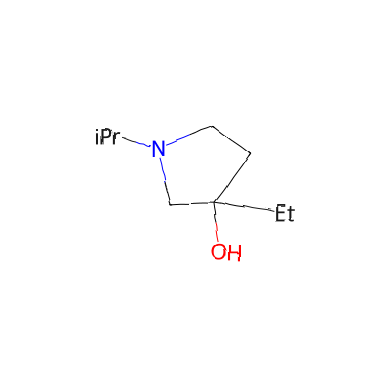 CCC1(O)CCN(C(C)C)C1